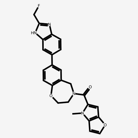 Cn1c(C(=O)N2CCOc3ccc(-c4ccc5nc(CF)[nH]c5c4)cc3C2)cc2occc21